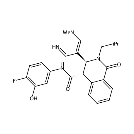 CN/C=C(\C=N)[C@@H]1[C@@H](C(=O)Nc2ccc(F)c(O)c2)c2ccccc2C(=O)N1CC(C)C